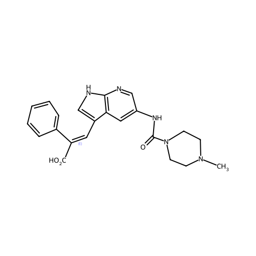 CN1CCN(C(=O)Nc2cnc3[nH]cc(/C=C(/C(=O)O)c4ccccc4)c3c2)CC1